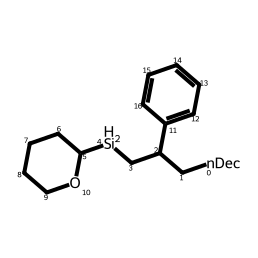 CCCCCCCCCCCC(C[SiH2]C1CCCCO1)c1ccccc1